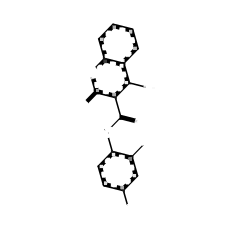 O=C(Nc1ccc(F)cc1F)c1c(O)c2ccccc2oc1=O